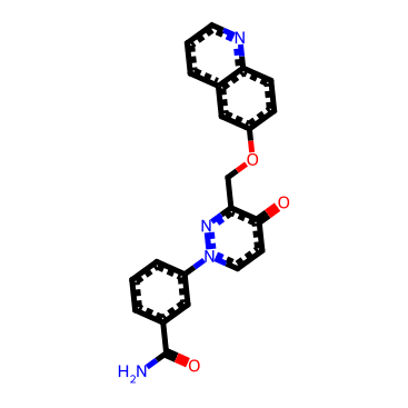 NC(=O)c1cccc(-n2ccc(=O)c(COc3ccc4ncccc4c3)n2)c1